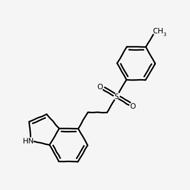 Cc1ccc(S(=O)(=O)CCc2cccc3[nH]ccc23)cc1